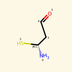 N[C@H](S)C[C]=O